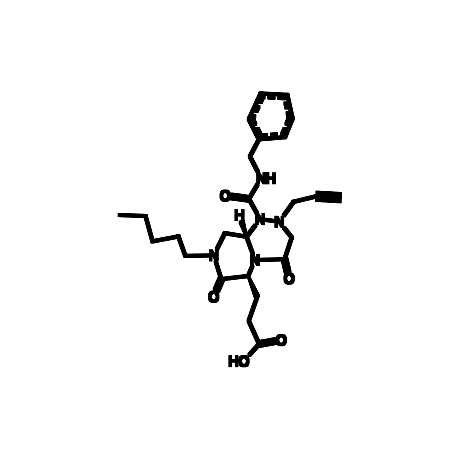 C#CCN1CC(=O)N2[C@@H](CCC(=O)O)C(=O)N(CCCCC)C[C@@H]2N1C(=O)NCc1ccccc1